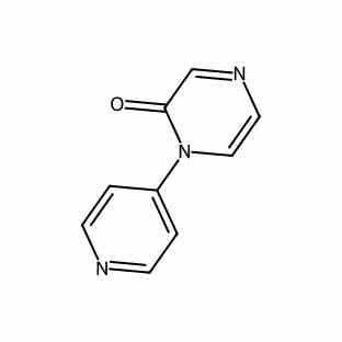 O=c1cnccn1-c1ccncc1